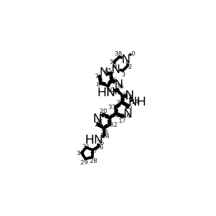 CN1CCN(c2nccc3[nH]c(-c4n[nH]c5ncc(-c6cncc(CNCC7CCCC7)c6)cc45)nc23)CC1